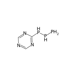 PPPc1ncncn1